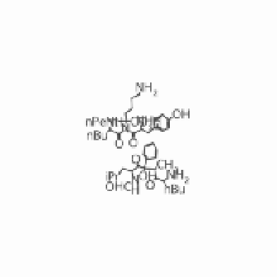 CCCCC(N)C(=O)C(C)C(O)(C(=O)C(CC(C)C)NC=O)c1ccccc1.CCCCCC(CCCCN)(C(=O)O)N(C(=O)C(N)CCCC)C(=O)C(N)Cc1ccc(O)cc1